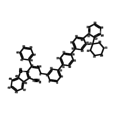 Nc1c(/C(=N\Cc2cccc(-c3ccc(-c4ccc5c(c4)C4(CCCCC4)c4ccccc4-5)cc3)c2)c2ccccc2)oc2ccccc12